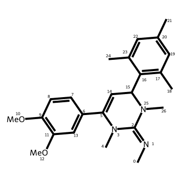 CN=C1N(C)C(c2ccc(OC)c(OC)c2)=CC(c2c(C)cc(C)cc2C)N1C